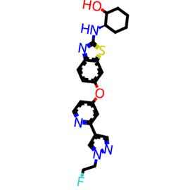 OC1CCCC[C@H]1Nc1nc2ccc(Oc3ccnc(-c4cnn(CCF)c4)c3)cc2s1